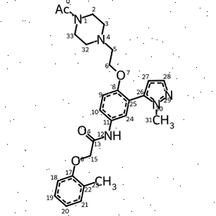 CC(=O)N1CCN(CCOc2ccc(NC(=O)COc3ccccc3C)cc2-c2ccnn2C)CC1